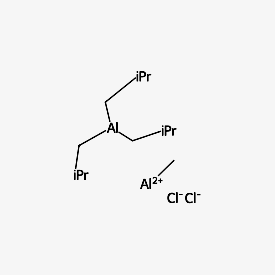 CC(C)[CH2][Al]([CH2]C(C)C)[CH2]C(C)C.[CH3][Al+2].[Cl-].[Cl-]